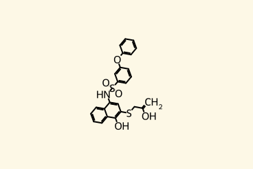 C=C(O)CSc1cc(NS(=O)(=O)c2cccc(Oc3ccccc3)c2)c2ccccc2c1O